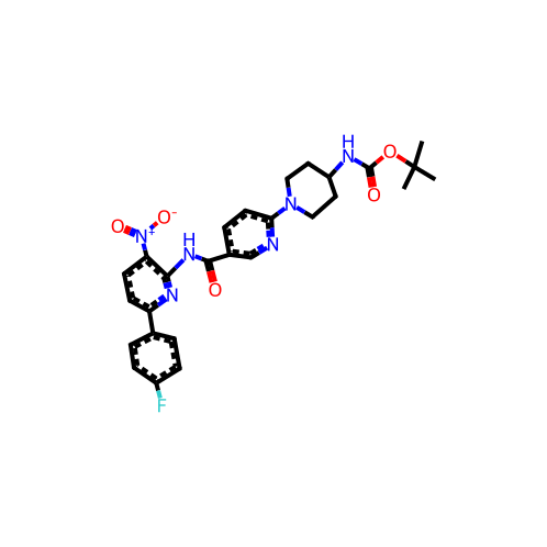 CC(C)(C)OC(=O)NC1CCN(c2ccc(C(=O)Nc3nc(-c4ccc(F)cc4)ccc3[N+](=O)[O-])cn2)CC1